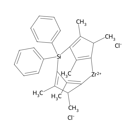 CC1=[C]2[Zr+2][C]3=C(C)C(=C(C)C3C)[Si](c3ccccc3)(c3ccccc3)C1=C(C)C2C.[Cl-].[Cl-]